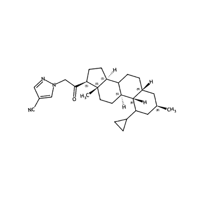 C[C@H]1CC(C2CC2)[C@H]2[C@H](CCC3[C@@H]2CC[C@]2(C)[C@@H](C(=O)Cn4cc(C#N)cn4)CC[C@@H]32)C1